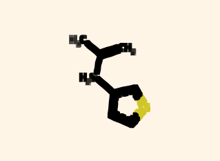 C=C(C)[SiH2]c1ccsc1